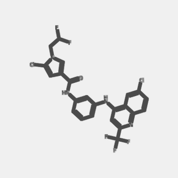 O=C(Nc1cccc(Nc2cc(C(F)(F)F)nc3ccc(Cl)cc23)c1)c1cc(Cl)n(CC(F)F)c1